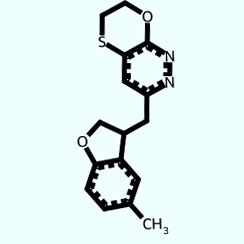 Cc1ccc2c(c1)C(Cc1cc3c(nn1)OCCS3)CO2